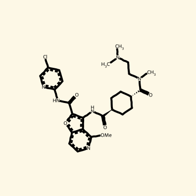 COc1nccc2oc(C(=O)Nc3ccc(Cl)cn3)c(NC(=O)[C@H]3CC[C@H](C(=O)N(C)CCN(C)C)CC3)c12